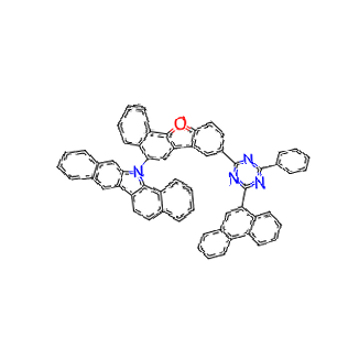 c1ccc(-c2nc(-c3ccc4oc5c6ccccc6c(-n6c7cc8ccccc8cc7c7ccc8ccccc8c76)cc5c4c3)nc(-c3cc4ccccc4c4ccccc34)n2)cc1